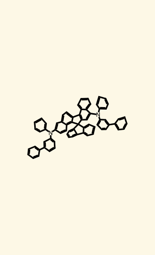 c1ccc(-c2cccc(N(c3ccccc3)c3ccc4c5c(ccc4c3)-c3c(cc(N(c4ccccc4)c4cccc(-c6ccccc6)c4)c4ccccc34)C53c4ccccc4-c4ccccc43)c2)cc1